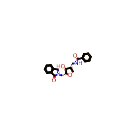 O=C(NC[C@@H]1CO[C@H](CN2Cc3ccccc3C2=O)[C@H]1O)c1ccccc1